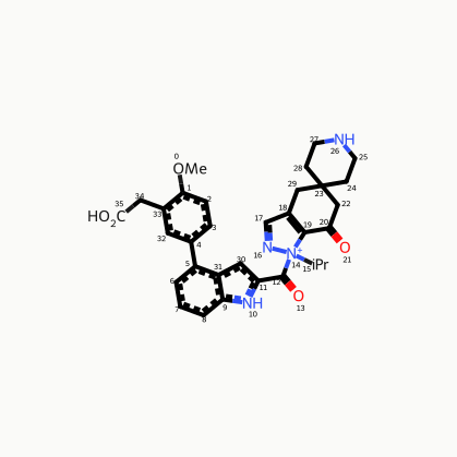 COc1ccc(-c2cccc3[nH]c(C(=O)[N+]4(C(C)C)N=CC5=C4C(=O)CC4(CCNCC4)C5)cc23)cc1CC(=O)O